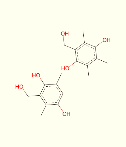 Cc1c(C)c(O)c(CO)c(C)c1O.Cc1cc(O)c(C)c(CO)c1O